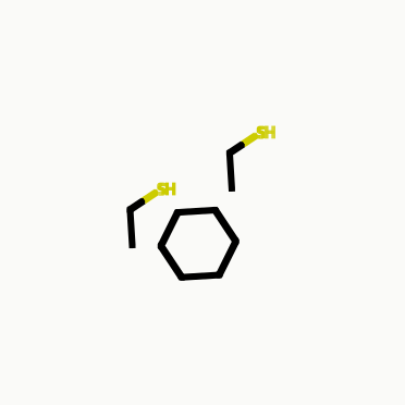 C1CCCCC1.CCS.CCS